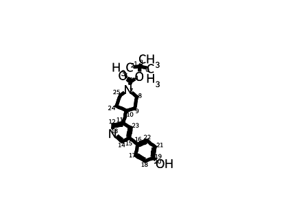 CC(C)(C)OC(=O)N1CCC(c2cncc(-c3ccc(O)cc3)c2)CC1